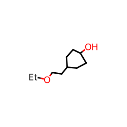 CCOCCC1CCC(O)CC1